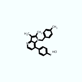 Cc1ccc(Cn2c(C)c(C)c3nccc(-c4ccc(F)cc4)c32)cc1.Cl